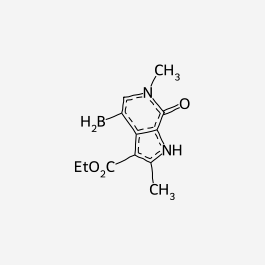 Bc1cn(C)c(=O)c2[nH]c(C)c(C(=O)OCC)c12